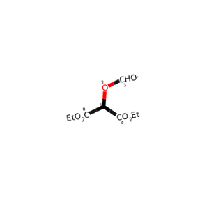 CCOC(=O)[C](O[C]=O)C(=O)OCC